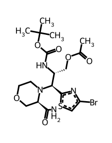 CC(=O)OC[C@@H](NC(=O)OC(C)(C)C)[C@@H](c1nc(Br)cs1)N1CCOC[C@@H]1C(N)=O